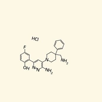 Cl.NCC1(c2ccccc2)CCN(c2cc(-c3cc(F)ccc3O)nnc2N)CC1